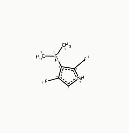 C[SH](C)c1c(F)c[nH]c1F